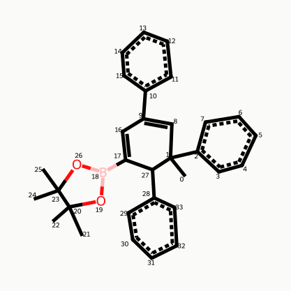 CC1(c2ccccc2)C=C(c2ccccc2)C=C(B2OC(C)(C)C(C)(C)O2)C1c1ccccc1